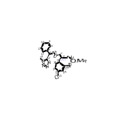 CO/N=C(/CON=C(c1ccccc1)c1nnnn1C)c1ccc(Cl)cc1F